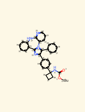 CC(C)(C)OC(=O)NC1(c2ccc(-c3nc4n(c3-c3ccccc3)-c3cccnc3Nc3ccccc3-4)cc2)CCC1